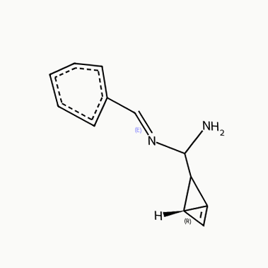 NC(/N=C/c1ccccc1)C1C2=C[C@@H]21